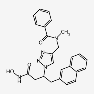 CN(Cc1cn(C(CC(=O)NO)Cc2ccc3ccccc3c2)nn1)C(=O)c1ccccc1